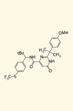 COc1ccc(C(C)(C)c2nc(C(=O)NC(c3ccc(SC(F)(F)F)cc3)C(C)(C)C)cc(=O)[nH]2)cc1